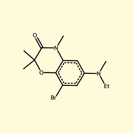 CCN(C)c1cc(Br)c2c(c1)N(C)C(=O)C(C)(C)O2